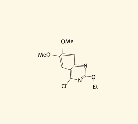 CCOc1nc(Cl)c2cc(OC)c(OC)cc2n1